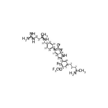 C[C@H](N)CCCc1cc(OC(F)(F)F)c(F)c(-c2cc3cn(-c4ccc(CN[C@H](C)CCNC(=N)N)cc4)c(=O)nc3[nH]2)c1